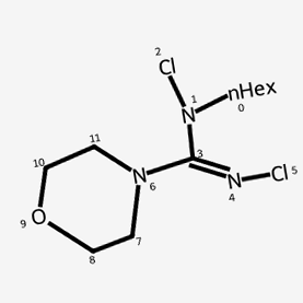 CCCCCCN(Cl)C(=NCl)N1CCOCC1